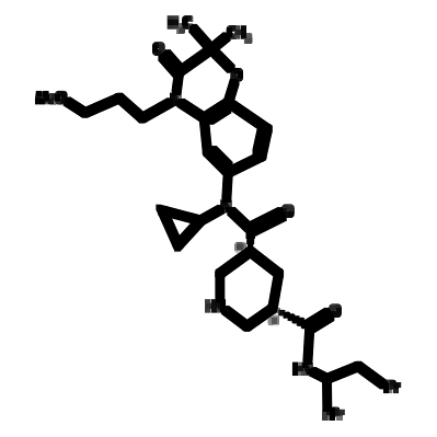 CCCC(CC(C)C)NC(=O)[C@@H]1CNC[C@H](C(=O)N(c2ccc3c(c2)N(CCCOC)C(=O)C(C)(C)O3)C2CC2)C1